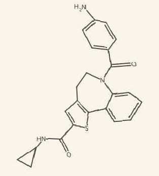 Nc1ccc(C(=O)N2CCc3cc(C(=O)NC4CC4)sc3-c3ccccc32)cc1